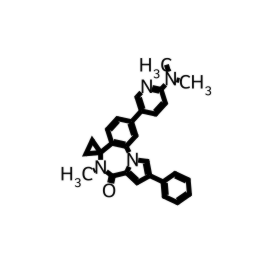 CN(C)c1ccc(-c2ccc3c(c2)-n2cc(-c4ccccc4)cc2C(=O)N(C)C32CC2)cn1